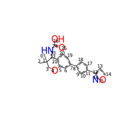 CC1(C)COc2cc(-c3ccc(-c4ccon4)cc3)ccc2C1NC(=O)O